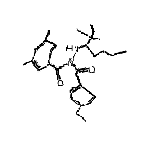 CCCCC(NN(C(=O)c1ccc(CC)cc1)C(=O)c1cc(C)cc(C)c1)C(C)(C)C